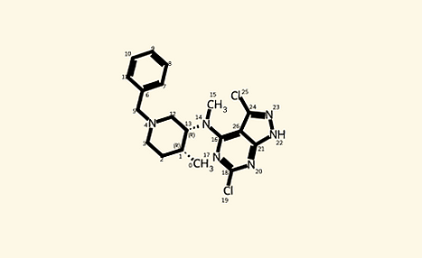 C[C@@H]1CCN(Cc2ccccc2)C[C@@H]1N(C)c1nc(Cl)nc2[nH]nc(Cl)c12